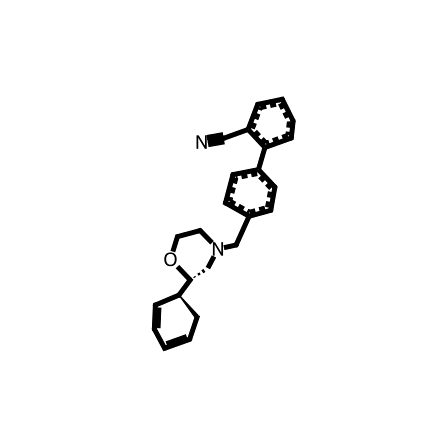 N#Cc1ccccc1-c1ccc(CN2CCO[C@@H]([C@@H]3C=CC=CC3)C2)cc1